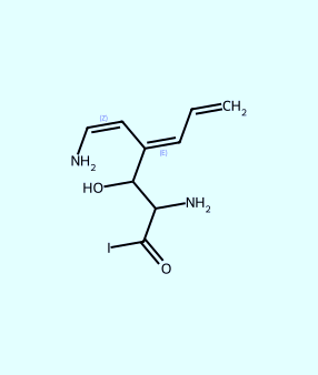 C=C/C=C(\C=C/N)C(O)C(N)C(=O)I